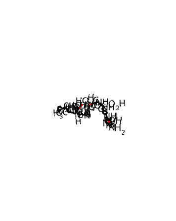 C/C=C/[C@@H]1O[C@H]([C@@H](/C=C/C=C(\C)C[C@@H](C)/C=C(C)\C=C\[C@H]2CC=CC(=O)O2)NC(=O)OCCc2cn(CCC[C@H](NC(=O)CC[C@H](NC(=O)CC[C@H](NC(=O)c3ccc(NCc4cnc5nc(N)nc(O)c5n4)cc3)C(=O)O)C(=O)O)C(=O)O)nn2)C[C@@H](O)[C@@H]1C